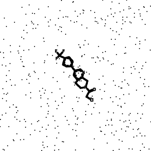 O=C(CCl)N1CCc2cc(-c3ccc(C(F)(F)F)cc3)cnc2C1